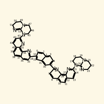 c1cc2ccc(-c3ccc4ccc5ccc(N6CCCN7CCCN=C76)nc5c4n3)cc2cc1-c1ccc2ccc3ccc(N4CCCN5CCCN=C54)nc3c2n1